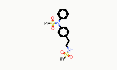 CC(C)S(=O)(=O)NCCc1ccc(N(c2ccccc2)S(=O)(=O)C(C)C)cc1